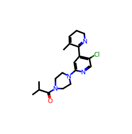 CC1=CCCN=C1c1cc(N2CCN(C(=O)C(C)C)CC2)ncc1Cl